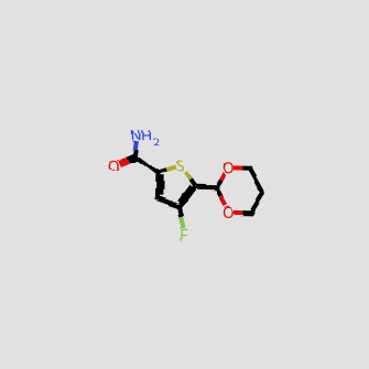 NC(=O)c1cc(F)c(C2OCCCO2)s1